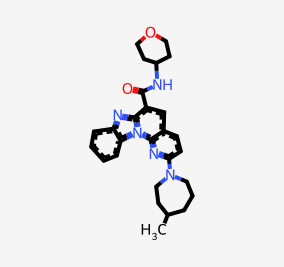 CC1CCCN(c2ccc3cc(C(=O)NC4CCOCC4)c4nc5ccccc5n4c3n2)CC1